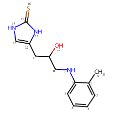 Cc1ccccc1NCC(O)Cc1c[nH]c(=S)[nH]1